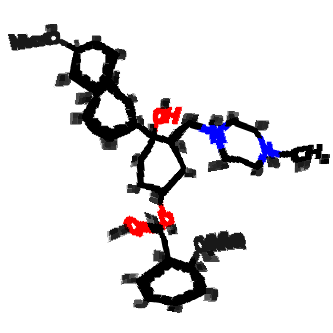 COc1ccc2cc(C3(O)CCC(OC(=O)c4ccccc4OC)CC3CN3CCN(C)CC3)ccc2c1